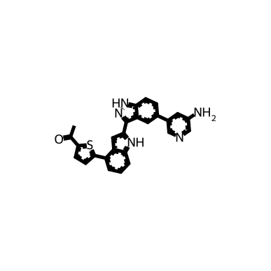 CC(=O)c1ccc(-c2cccc3[nH]c(-c4n[nH]c5ccc(-c6cncc(N)c6)cc45)cc23)s1